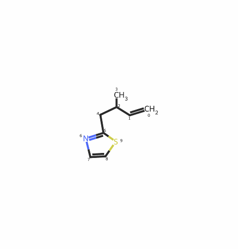 C=CC(C)Cc1nccs1